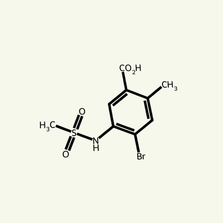 Cc1cc(Br)c(NS(C)(=O)=O)cc1C(=O)O